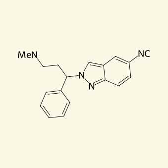 [C-]#[N+]c1ccc2nn(C(CCNC)c3ccccc3)cc2c1